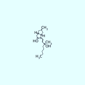 C=C1C[C@H]2C[C@@H](O)[C@H](C=C[C@@](C)(O)CCCCC)[C@@H]2C1